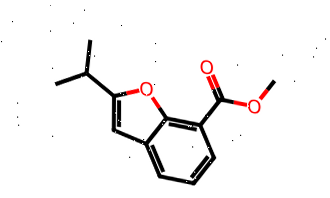 COC(=O)c1cccc2cc(C(C)C)oc12